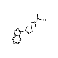 O=C(O)N1CC2(CC=C(c3ncn4cnccc34)C2)C1